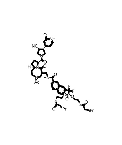 CC(=O)N1CC[C@H]2CC[C@@H](C(=O)N3C[C@@H](C#N)[C@H](c4cc[nH]c(=O)c4)C3)N2C(=O)C(CNC(=O)c2ccc3ccc(C(F)(F)P(=O)(OCCSC(=O)CC(C)C)OCCSC(=O)CC(C)C)cc3c2)C1